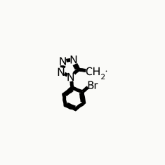 [CH2]c1nnnn1-c1ccccc1Br